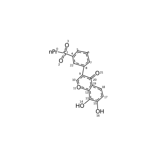 CCCS(=O)(=O)c1cccc(-c2coc3c(O)c(O)ccc3c2=O)c1